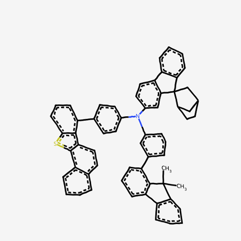 CC1(C)c2ccccc2-c2cccc(-c3cccc(N(c4ccc(-c5cccc6sc7c8ccccc8ccc7c56)cc4)c4ccc5c(c4)C4(CC6CCC4C6)c4ccccc4-5)c3)c21